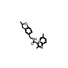 Cc1ccc2nc(C)c(C(=O)NCc3ccc4c(c3)CC(C)O4)n2c1